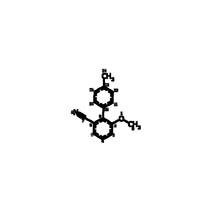 COc1cccc(C#N)c1-c1ccc(C)cc1